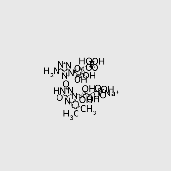 Cc1cc2nc3c(=O)[nH]c(=O)nc-3n(C[C@H](O)[C@H](O)[C@H](O)COP(=O)([O-])O)c2cc1C.Nc1ncnc2c1ncn2[C@@H]1O[C@H](COP(=O)(O)O)[C@@H](O)[C@H]1O.[Na+]